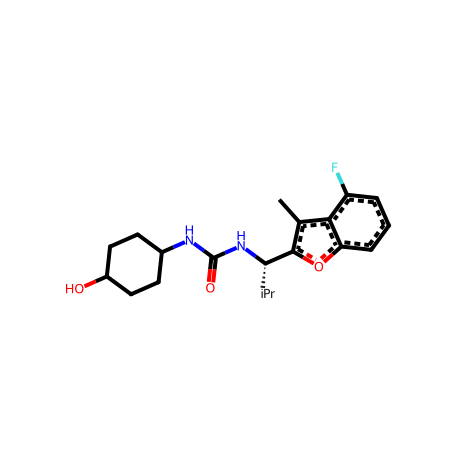 Cc1c([C@@H](NC(=O)NC2CCC(O)CC2)C(C)C)oc2cccc(F)c12